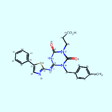 Cc1ccc(Cn2c(=O)n(CCC(=O)O)c(=O)[nH]/c2=N\c2ncc(-c3ccccc3)s2)cc1